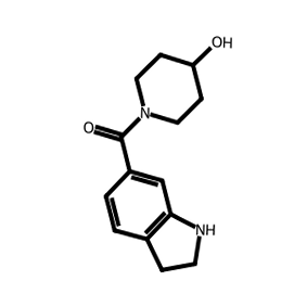 O=C(c1ccc2c(c1)NCC2)N1CCC(O)CC1